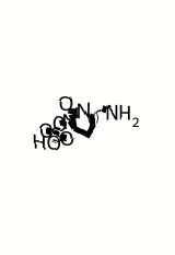 NC[C@@H]1CCC2CN1C(=O)N2OS(=O)(=O)O